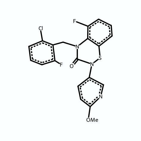 COc1ccc(N2Sc3cccc(F)c3N(Cc3c(F)cccc3Cl)C2=O)cn1